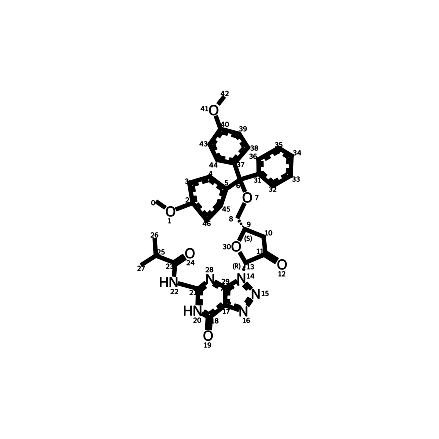 COc1ccc(C(OC[C@@H]2CC(=O)[C@H](n3nnc4c(=O)[nH]c(NC(=O)C(C)C)nc43)O2)(c2ccccc2)c2ccc(OC)cc2)cc1